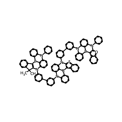 CC1(C)C2=C(B3c4ccccc4N(c4ccccc4)c4cccc(c43)N2c2cccc(-c3cccc(N4c5ccccc5B5c6c4cccc6N(c4cccc(-c6cccc(N7c8ccccc8B8c9c7cccc9N(c7ccccc7)c7oc9ccccc9c78)c6)c4)c4sc6ccccc6c45)c3)c2)c2ccccc21